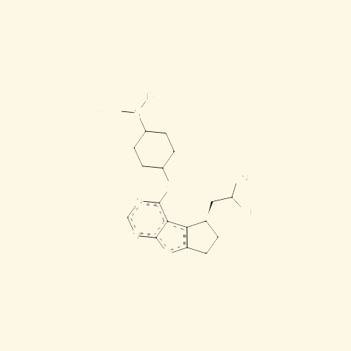 CCN(C(=O)O)C1CCC(Oc2ncnc3sc4c(c23)[C@@H](CC(O)C#N)CC4)CC1